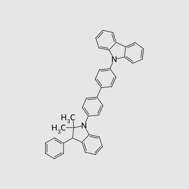 CC1(C)C(c2ccccc2)c2ccccc2N1c1ccc(-c2ccc(-n3c4ccccc4c4ccccc43)cc2)cc1